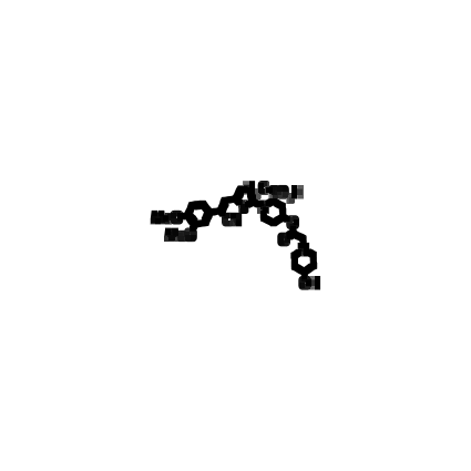 COc1ccc(C(C#N)=Cc2ccc(N3CCC(OC(=O)CN4CCC(O)CC4)CC3)s2)cc1OC.CS(=O)(=O)O